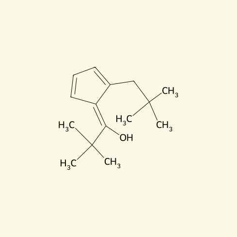 CC(C)(C)CC1=CC=CC1=C(O)C(C)(C)C